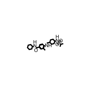 Cc1cc(C(=O)NC2CCCCC2)ccc1NCC1CCC(NS(=O)(=O)C(C)C)CC1